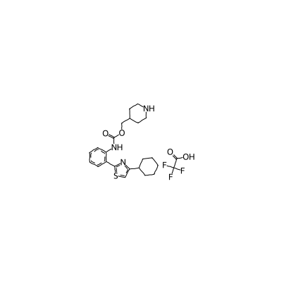 O=C(Nc1ccccc1-c1nc(C2CCCCC2)cs1)OCC1CCNCC1.O=C(O)C(F)(F)F